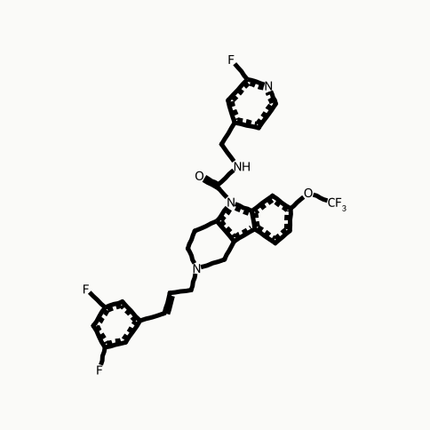 O=C(NCc1ccnc(F)c1)n1c2c(c3ccc(OC(F)(F)F)cc31)CN(CC=Cc1cc(F)cc(F)c1)CC2